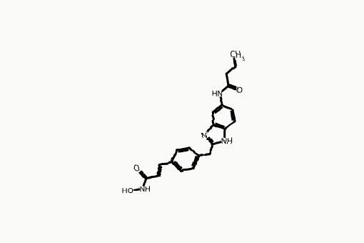 CCCC(=O)Nc1ccc2[nH]c(Cc3ccc(/C=C/C(=O)NO)cc3)nc2c1